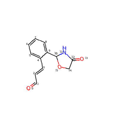 O=[C]/C=C/c1ccccc1C1NC(=O)CO1